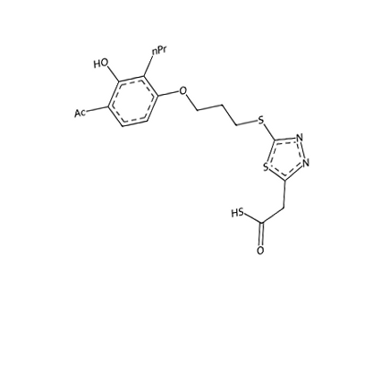 CCCc1c(OCCCSc2nnc(CC(=O)S)s2)ccc(C(C)=O)c1O